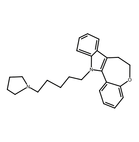 c1ccc2c(c1)OCCc1c-2n(CCCCCN2CCCC2)c2ccccc12